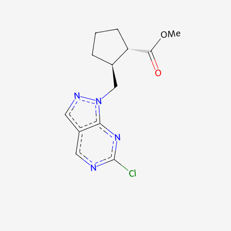 COC(=O)[C@H]1CCC[C@@H]1Cn1ncc2cnc(Cl)nc21